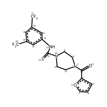 O=C(c1ccco1)N1CCN(C(=S)Nc2cc(C(F)(F)F)cc(C(F)(F)F)c2)CC1